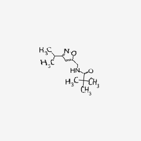 CC(C)c1cc(CNC(=O)C(C)(C)C)on1